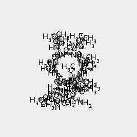 CCCCCC1CC(C(=O)O[C@@H](CCN)C(=O)N[C@H](C(=O)N[C@@H](CCNC(=O)OC(C)(C)C)C(=O)N[C@H]2CCNC(=O)[C@H](C(C)O)NC(=O)[C@H](CCNC(=O)OC(C)(C)C)NC(=O)[C@H](CCNC(=O)OC(C)(C)C)NC(=O)[C@H](CC(C)C)NC(=O)[C@@H](Cc3ccccc3)NC(=O)[C@H](CCNC(=O)OC(C)(C)C)NC2=O)C(C)O)C(=O)O1